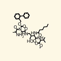 CCCCCC(=O)NC(C(=O)NC(C(=O)OC)C(C)C)C(CO)CNC(=O)[C@H](C)N(C(=O)OCc1ccccc1-c1ccccc1)C(=O)[C@H](C)N